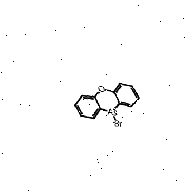 Br[As]1c2ccccc2Oc2ccccc21